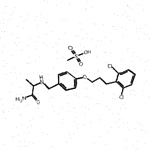 CC(NCc1ccc(OCCCc2c(Cl)cccc2Cl)cc1)C(N)=O.CS(=O)(=O)O